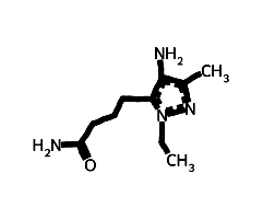 CCn1nc(C)c(N)c1CCCC(N)=O